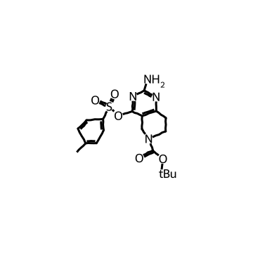 Cc1ccc(S(=O)(=O)Oc2nc(N)nc3c2CN(C(=O)OC(C)(C)C)CC3)cc1